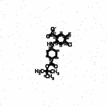 CC(C)(C)OC(=O)N1CCC(Nc2cc(Cl)c(F)cc2[N+](=O)[O-])CC1